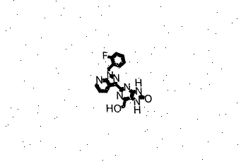 O=c1[nH]c2nc(-c3nn(Cc4ccccc4F)c4ncccc34)nc(CO)c2[nH]1